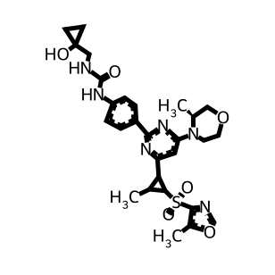 Cc1ocnc1S(=O)(=O)C1C(C)C1c1cc(N2CCOC[C@@H]2C)nc(-c2ccc(NC(=O)NCC3(O)CC3)cc2)n1